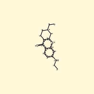 CCNc1ccc2c(=O)c3c(sc2c1)CC(CC)CC3